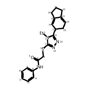 CCn1c(SCC(=O)Nc2ccccc2)nnc1C1C=C2CCCC2=CC1